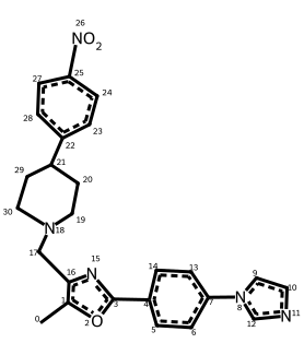 Cc1oc(-c2ccc(-n3ccnc3)cc2)nc1CN1CCC(c2ccc([N+](=O)[O-])cc2)CC1